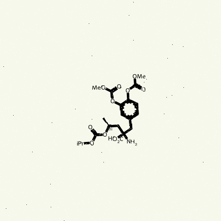 COC(=O)Oc1ccc(CC(N)(C[C@H](C)OC(=O)OC(C)C)C(=O)O)cc1OC(=O)OC